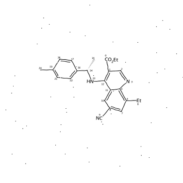 CCOC(=O)c1cnc2c(CC)cc(C#N)cc2c1N[C@@H](C)c1ccc(C)cc1